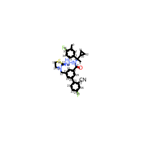 Cc1cc(C(C)(NC(=O)c2cc(CN3CCSC3=N)cc(-c3ccc(F)cc3C#N)c2)C2CC2)ccc1F